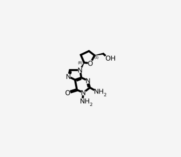 Nc1nc2c(ncn2[C@H]2CC[C@@H](CO)O2)c(=O)n1N